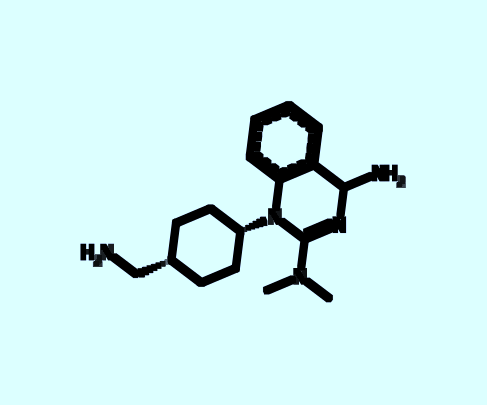 CN(C)C1=NC(N)c2ccccc2N1[C@H]1CC[C@@H](CN)CC1